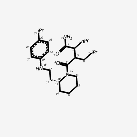 CCCC(C(N)=O)C(CC(C)C)C(=O)N1CCCC[C@@H]1CCNc1ccc(C(C)C)cc1